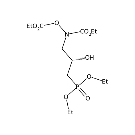 CCOC(=O)ON(C[C@H](O)CP(=O)(OCC)OCC)C(=O)OCC